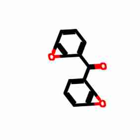 O=C(c1cccc2c1O2)c1cccc2c1O2